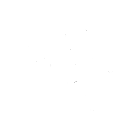 CSCC[C@@H](Nc1nc(Nc2cnc(C)c(-n3nccn3)c2)c(C#N)cc1F)[C@H](C)NC(=O)OC(C)(C)C